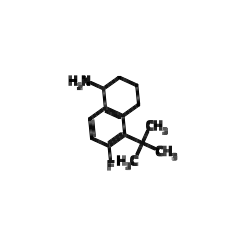 CC(C)(C)c1c(F)ccc2c1CCCC2N